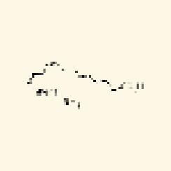 CCCCC/C=C\C/C=C\CCCCCCCC(=O)O.[BiH3]